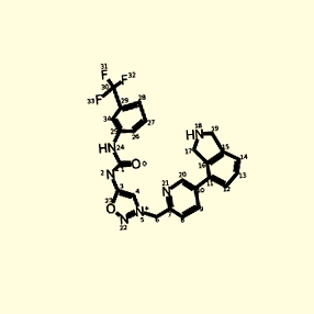 O=C([N-]c1c[n+](Cc2ccc(-c3cccc4c3CNC4)cn2)no1)Nc1cccc(C(F)(F)F)c1